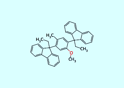 CCC1(c2cc(OC)c(C3(CC)c4ccccc4-c4ccccc43)cc2C)c2ccccc2-c2ccccc21